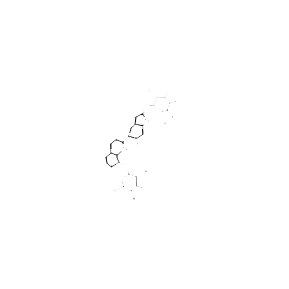 OCC1OC(Oc2cc3cc(-c4ccc5cccc(OC6OC(CO)C(O)C(O)C6O)c5n4)c(Cl)cc3[nH]2)C(O)C(O)C1O